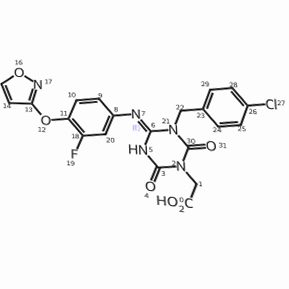 O=C(O)Cn1c(=O)[nH]/c(=N\c2ccc(Oc3ccon3)c(F)c2)n(Cc2ccc(Cl)cc2)c1=O